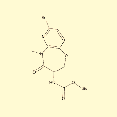 CN1C(=O)C(NC(=O)OC(C)(C)C)COc2ccc(Br)nc21